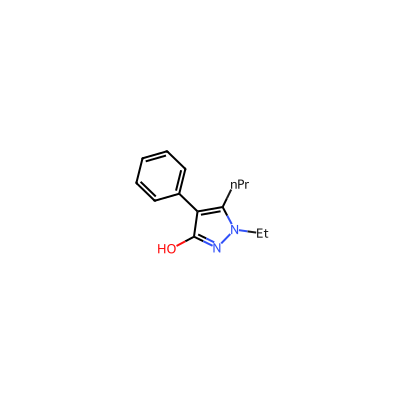 CCCc1c(-c2ccccc2)c(O)nn1CC